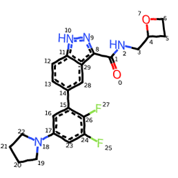 O=C(NCC1CCO1)c1n[nH]c2ccc(-c3cc(N4CCCC4)cc(F)c3F)cc12